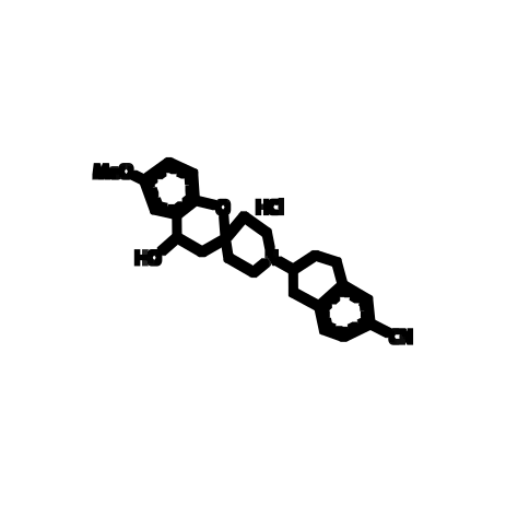 COc1ccc2c(c1)C(O)CC1(CCN(C3CCc4cc(C#N)ccc4C3)CC1)O2.Cl